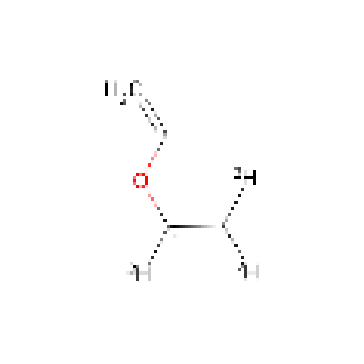 [2H]C([2H])=C([2H])OC=C